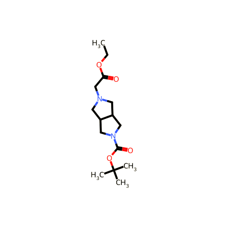 CCOC(=O)CN1CC2CN(C(=O)OC(C)(C)C)CC2C1